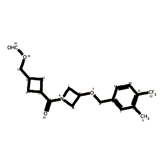 Cc1cc(COC2CN(C(=O)C3CC(COC=O)C3)C2)ccc1C(F)(F)F